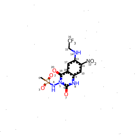 CS(=O)(=O)Nn1c(=O)[nH]c2cc([N+](=O)[O-])c(NCC(F)(F)F)cc2c1=O